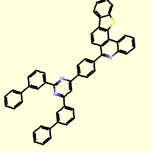 c1ccc(-c2cccc(-c3cc(-c4ccc(-c5nc6ccccc6c6c5ccc5c7ccccc7sc56)cc4)nc(-c4cccc(-c5ccccc5)c4)n3)c2)cc1